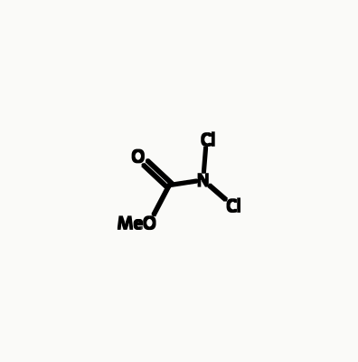 COC(=O)N(Cl)Cl